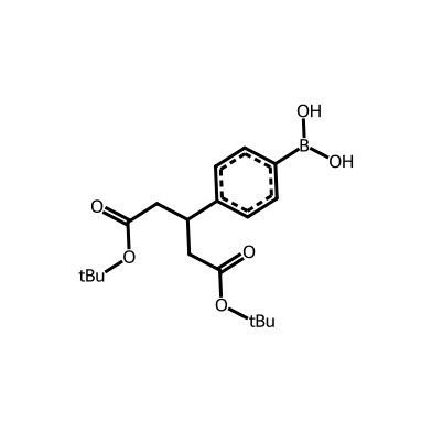 CC(C)(C)OC(=O)CC(CC(=O)OC(C)(C)C)c1ccc(B(O)O)cc1